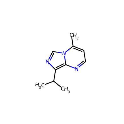 Cc1ccnc2c(C(C)C)ncn12